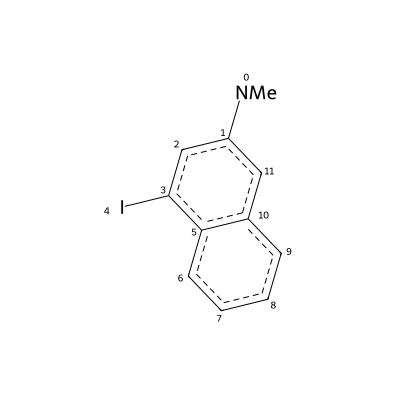 CNc1cc(I)c2ccccc2c1